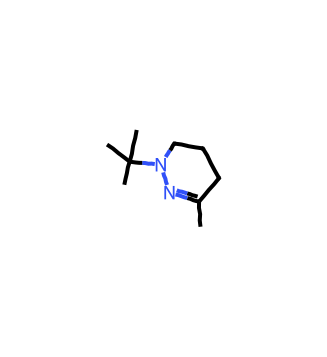 CC1=NN(C(C)(C)C)CCC1